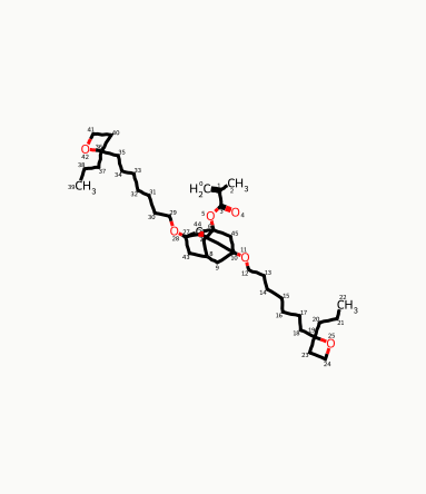 C=C(C)C(=O)OC12CC3CC(OCCCCCCCC4(CCC)CCO4)(CC(OCCCCCCCC4(CCC)CCO4)(C3)C1)C2